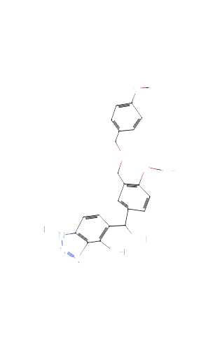 COc1ccc(COCc2cc(C(O)c3ccc4c(nnn4C)c3C)ccc2OC)cc1